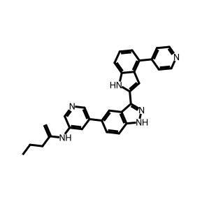 C=C(CCC)Nc1cncc(-c2ccc3[nH]nc(-c4cc5c(-c6ccncc6)cccc5[nH]4)c3c2)c1